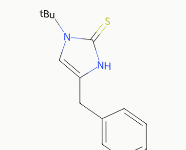 CC(C)(C)n1cc(Cc2ccccc2)[nH]c1=S